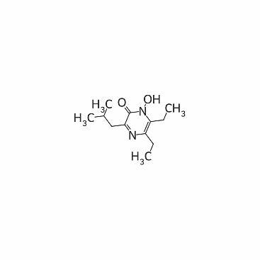 CCc1nc(CC(C)C)c(=O)n(O)c1CC